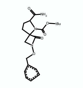 CC(C)(C)OC(=O)N1C(C(N)=O)CCC12CN(OCc1ccccc1)C2=O